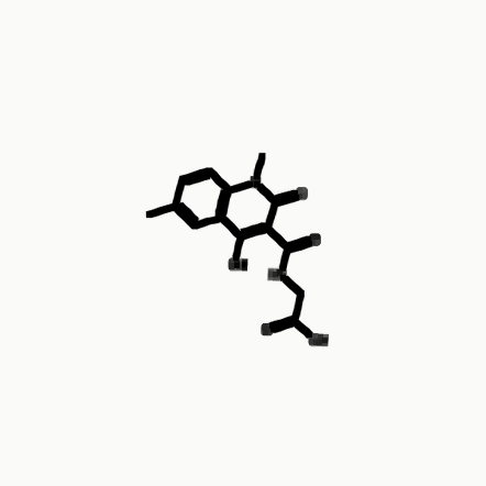 Cc1ccc2c(c1)c(O)c(C(=O)NCC(=O)O)c(=O)n2C